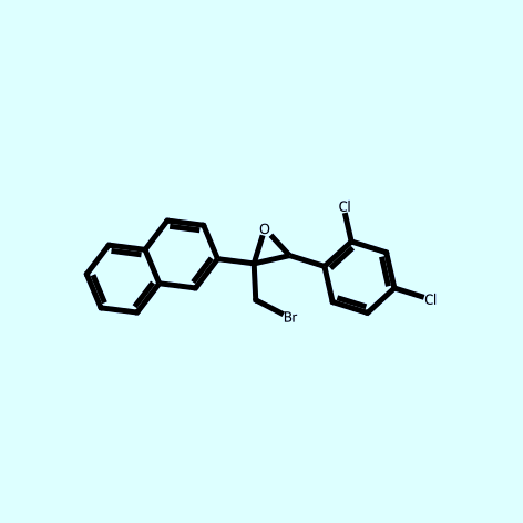 Clc1ccc(C2OC2(CBr)c2ccc3ccccc3c2)c(Cl)c1